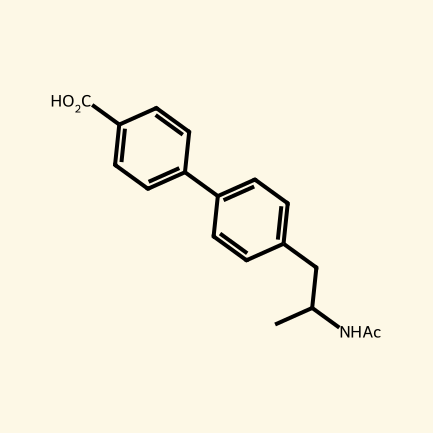 CC(=O)NC(C)Cc1ccc(-c2ccc(C(=O)O)cc2)cc1